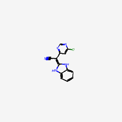 N#CC(=C1Nc2ccccc2N1)c1cc(Cl)ncn1